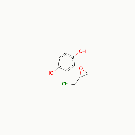 ClCC1CO1.Oc1ccc(O)cc1